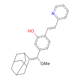 COC(=C1C2CC3CC(C2)CC1C3)c1ccc(/C=C/c2ccccn2)c(O)c1